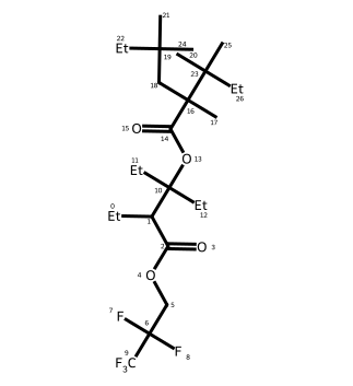 CCC(C(=O)OCC(F)(F)C(F)(F)F)C(CC)(CC)OC(=O)C(C)(CC(C)(C)CC)C(C)(C)CC